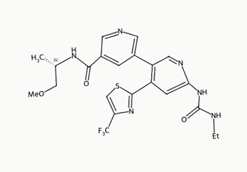 CCNC(=O)Nc1cc(-c2nc(C(F)(F)F)cs2)c(-c2cncc(C(=O)N[C@@H](C)COC)c2)cn1